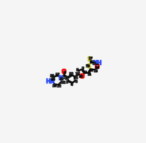 O=C(c1cccc(-c2ccc(/C=C3/CONC(=S)S3)o2)c1)N1CCCNCC1